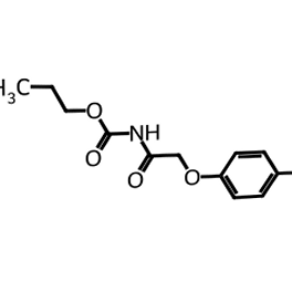 CCCOC(=O)NC(=O)COc1ccc(Cl)cc1